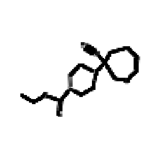 [C-]#[N+]C1(N2CCN(C(=O)OCC)CC2)CCC=COC1